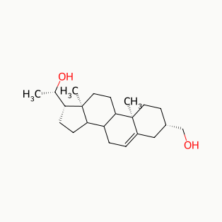 C[C@H](O)[C@H]1CCC2C3CC=C4C[C@@H](CO)CC[C@]4(C)C3CC[C@@]21C